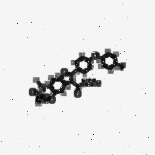 CNC(=O)c1c(-c2ccc(Oc3ccc(F)cc3)cc2)oc2cc(N(C)S(C)(=O)=O)c(OC)cc12